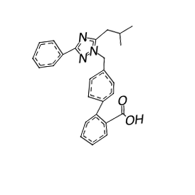 CC(C)Cc1nc(-c2ccccc2)nn1Cc1ccc(-c2ccccc2C(=O)O)cc1